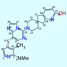 CNc1nccc(Sc2cnc(N3CCC4(CC3)Cc3ccc(O)nc3C4)n3ccnc23)c1C